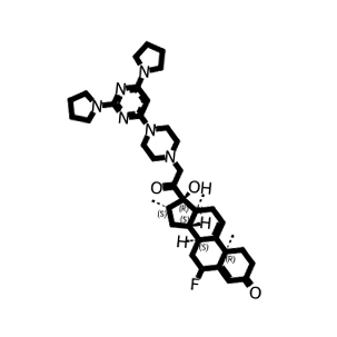 C[C@H]1C[C@H]2[C@@H]3CC(F)C4=CC(=O)CC[C@]4(C)C3=CC[C@]2(C)[C@@]1(O)C(=O)CN1CCN(c2cc(N3CCCC3)nc(N3CCCC3)n2)CC1